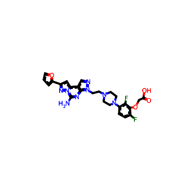 Nc1nc2c(cnn2CCN2CCN(c3ccc(F)c(OCC(=O)O)c3F)CC2)c2cc(-c3ccco3)nn12